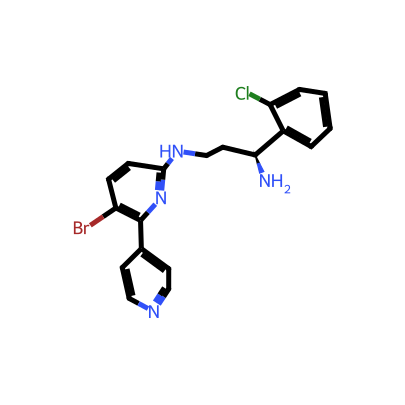 N[C@@H](CCNc1ccc(Br)c(-c2ccncc2)n1)c1ccccc1Cl